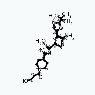 Cn1nc(C2CCN(C(=O)CCO)CC2)nc1-c1cnc(N)c(-c2nnc(C(C)(C)C)o2)n1